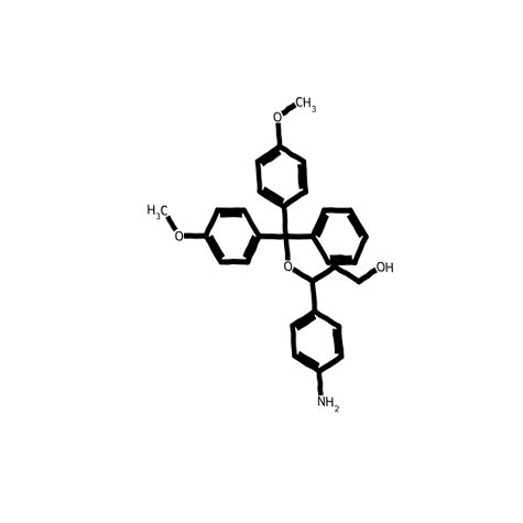 COc1ccc(C(OC(CCO)c2ccc(N)cc2)(c2ccccc2)c2ccc(OC)cc2)cc1